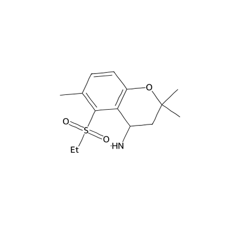 CCS(=O)(=O)c1c(C)ccc2c1C([NH])CC(C)(C)O2